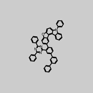 c1ccc(-c2cccc(-c3ccc(-c4ccc5oc6ccc7c(c8ccccc8n7-c7ccccc7)c6c5c4)c(-c4nc(-c5ccccc5)nc(-c5ccccc5)n4)c3)c2)cc1